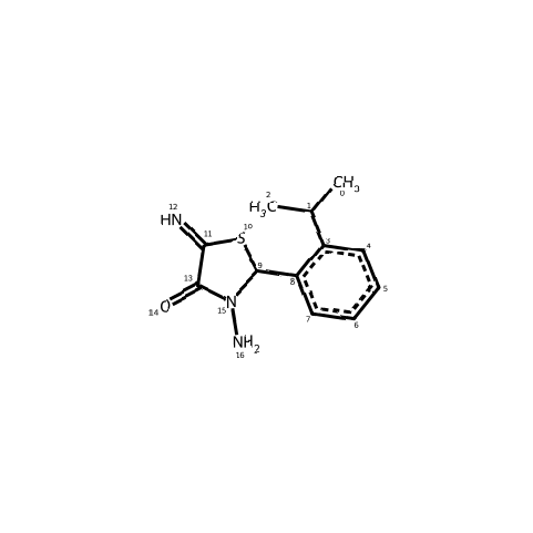 CC(C)c1ccccc1C1SC(=N)C(=O)N1N